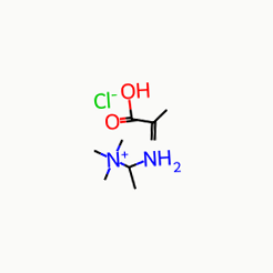 C=C(C)C(=O)O.CC(N)[N+](C)(C)C.[Cl-]